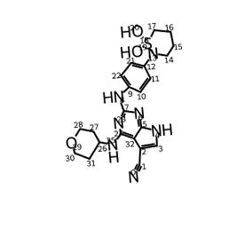 N#Cc1c[nH]c2nc(Nc3ccc(N4CCCCS4(O)O)cc3)nc(NC3CCOCC3)c12